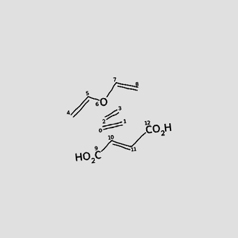 C=C.C=C.C=COC=C.O=C(O)/C=C/C(=O)O